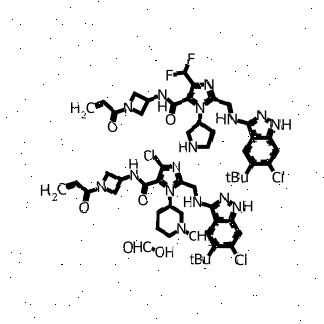 C=CC(=O)N1CC(NC(=O)c2c(C(F)F)nc(CNc3n[nH]c4cc(Cl)c(C(C)(C)C)cc34)n2C2CCNC2)C1.C=CC(=O)N1CC(NC(=O)c2c(Cl)nc(CNc3n[nH]c4cc(Cl)c(C(C)(C)C)cc34)n2C2CCCN(C)C2)C1.O=CO